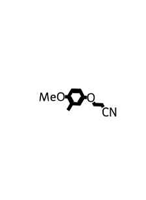 COc1ccc(OCCC#N)cc1C